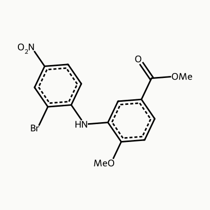 COC(=O)c1ccc(OC)c(Nc2ccc([N+](=O)[O-])cc2Br)c1